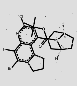 CC(C)(C)OC(=O)N1[C@@H]2CC[C@H]1CN(c1nc(Cl)nc3c(F)c(Br)c4c(c13)CCC4)C2